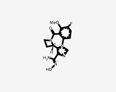 COc1c(F)ccc2c1C(=O)N1CC[C@H]1c1c(/C(N)=N/O)ncn1-2